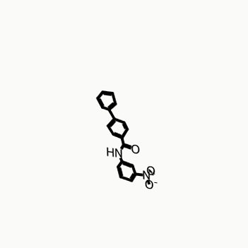 O=C(Nc1cccc([N+](=O)[O-])c1)c1ccc(-c2ccccc2)cc1